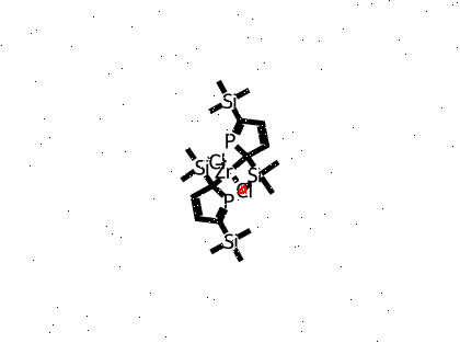 C[Si](C)(C)C1=P[C]([Si](C)(C)C)([Zr]([Cl])([Cl])[C]2([Si](C)(C)C)C=CC([Si](C)(C)C)=P2)C=C1